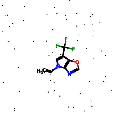 C=Cn1cc(C(F)(F)F)c2ocnc21